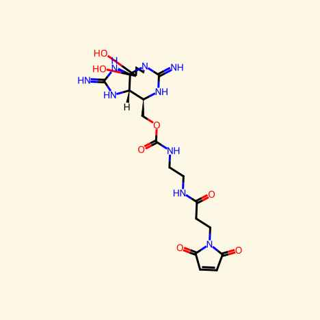 N=C1N[C@H]2[C@H](COC(=O)NCCNC(=O)CCN3C(=O)C=CC3=O)NC(=N)N3CCC(O)(O)[C@]23N1